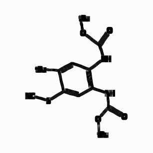 CC(C)(C)OC(=O)Nc1cc(SC#N)c(C(C)(C)C)cc1NC(=O)OC(C)(C)C